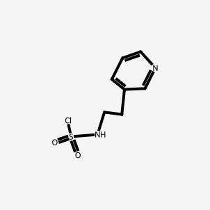 O=S(=O)(Cl)NCCc1cccnc1